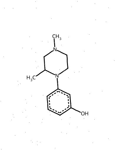 CC1CN(C)CCN1c1cccc(O)c1